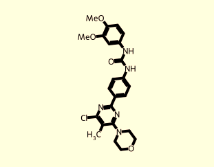 COc1ccc(NC(=O)Nc2ccc(-c3nc(Cl)c(C)c(N4CCOCC4)n3)cc2)cc1OC